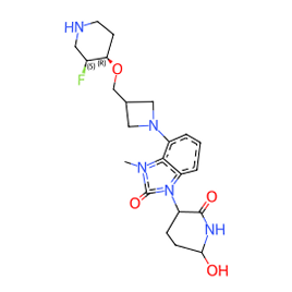 Cn1c(=O)n(C2CCC(O)NC2=O)c2cccc(N3CC(CO[C@@H]4CCNC[C@@H]4F)C3)c21